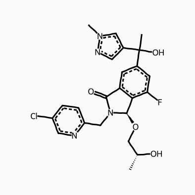 C[C@@H](O)CO[C@@H]1c2c(F)cc(C(C)(O)c3cnn(C)c3)cc2C(=O)N1Cc1ccc(Cl)cn1